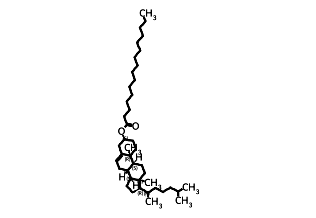 CCCCCCCCCCCCCCCC(=O)O[C@H]1CC[C@@]2(C)C(=CC[C@H]3[C@@H]4CC[C@H]([C@H](C)CCCC(C)C)[C@@]4(C)CC[C@@H]32)C1